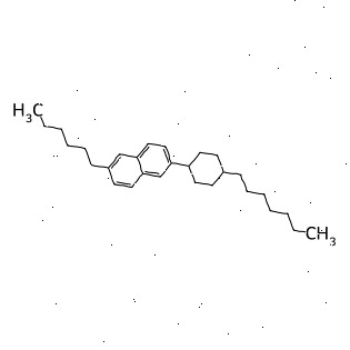 CCCCCCCC1CCC(c2ccc3cc(CCCCCC)ccc3c2)CC1